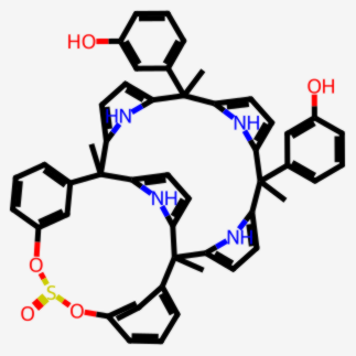 CC1(c2cccc(O)c2)c2ccc([nH]2)C(C)(c2cccc(O)c2)c2ccc([nH]2)C2(C)c3cccc(c3)OS(=O)Oc3cccc(c3)C(C)(c3ccc1[nH]3)c1ccc2[nH]1